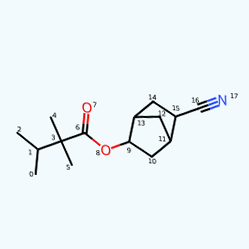 CC(C)C(C)(C)C(=O)OC1CC2CC1CC2C#N